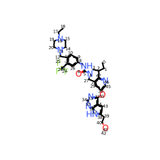 CCC1CN(C(=O)Nc2ccc(CN3CCN(CC)CC3)c(C(F)(F)F)c2)Cc2cc(Oc3ncnc4[nH]c(CCOC)cc34)cnc21